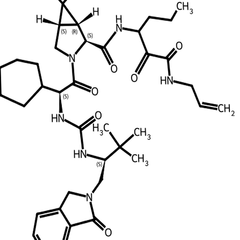 C=CCNC(=O)C(=O)C(CCC)NC(=O)[C@@H]1[C@@H]2[C@H](CN1C(=O)[C@@H](NC(=O)N[C@H](CN1Cc3ccccc3C1=O)C(C)(C)C)C1CCCCC1)C2(C)C